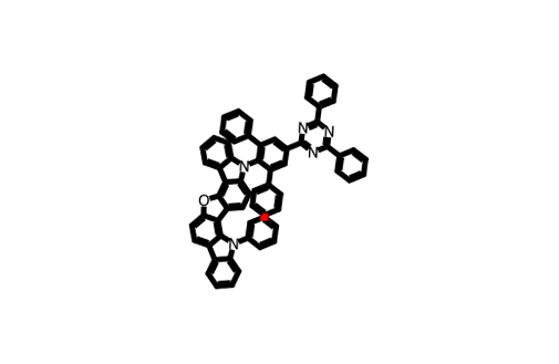 c1ccc(-c2nc(-c3ccccc3)nc(-c3cc(-c4ccccc4)c(-n4c5ccccc5c5c6oc7ccc8c9ccccc9n(-c9ccccc9)c8c7c6ccc54)c(-c4ccccc4)c3)n2)cc1